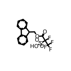 O=C(OCC1c2ccccc2-c2ccccc21)C(F)(C(F)(F)F)S(=O)(=O)O